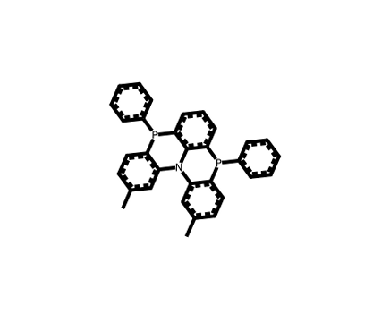 Cc1ccc2c(c1)N1c3cc(C)ccc3P(c3ccccc3)c3cccc(c31)P2c1ccccc1